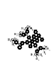 CC(C)(C)c1ccc(-n2c3ccccc3c3cc(-c4ccc(-c5c(-c6ccccc6)c(-c6ccc(-n7c8ccc(C(C)(C)C)cc8c8cc(C(C)(C)C)ccc87)cc6)c6c7cccc8c9c(-c%10ccccc%10)ccc(-c%10ccccc%10)c9c9cccc(c6c5-c5ccc(-n6c%10ccc(C(C)(C)C)cc%10c%10cc(C(C)(C)C)ccc%106)cc5)c9c87)cc4)ccc32)cc1